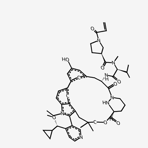 C=CC(=O)N1CC[C@H](C(=O)N(C)[C@H](C(=O)N[C@H]2Cc3cc(O)cc(c3)-c3ccc4c(c3)c(c(-c3cnccc3[C@@H](OC)C3CC3)n4CC)CC(C)(C)COC(=O)[C@@H]3CCCN(N3)C2=O)C(C)C)C1